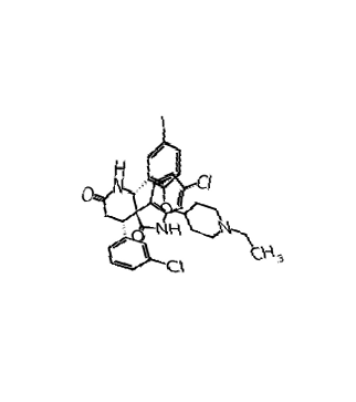 CCN1CCC(Oc2ccc(I)cc2[C@H]2NC(=O)C[C@@H](c3cccc(Cl)c3)[C@]23C(=O)Nc2cc(Cl)ccc23)CC1